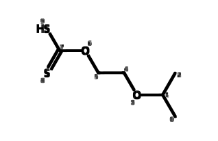 CC(C)OCCOC(=S)S